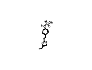 CCc1csc(CCc2ccc(NS(=O)(=O)O)cc2)n1